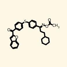 CC(=O)ON=C(CCC1CCCCC1)c1ccc(Sc2ccc(C(=O)c3cc4ccccc4o3)cc2)cc1